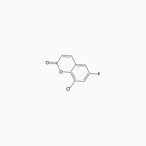 O=c1ccc2cc(F)cc(Cl)c2o1